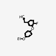 C#CCc1ccc(F)c(Oc2ccc(OCC)cc2)c1